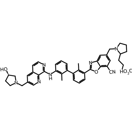 Cc1c(Nc2nccc3cc(CN4CC[C@@H](O)C4)cnc23)cccc1-c1cccc(-c2nc3cc(CN4CCCC4CCC(=O)O)cc(C#N)c3o2)c1C